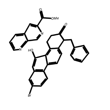 COC(=O)c1cc2cccnc2cn1.O=C1CCc2c(ccc3c2c(O)cc2cc(Br)ccc23)C1Cc1ccccc1